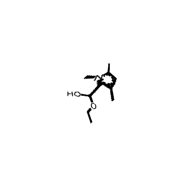 CCOC(O)c1c(C)cc(C)n1C